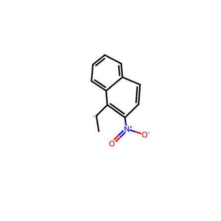 C[CH]c1c([N+](=O)[O-])ccc2ccccc12